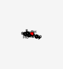 CC(=O)c1ccc(N2C[C@@H]3C[C@H]4[C@@H]5C[C@H](F)C6=CC(=O)C=C[C@]6(C)[C@@]5(F)[C@@H](O)C[C@]4(C)[C@]3(C(=O)CO)O2)cc1